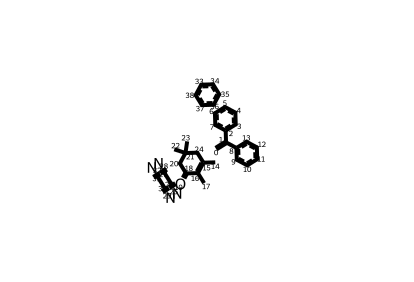 C=C(c1ccccc1)c1ccccc1.CC1=C(C)C(=O)CC(C)(C)C1.N#CC#N.N#CC#N.c1ccccc1